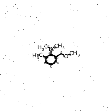 COCc1cccc(C)[c]1[Bi]([CH3])[CH3]